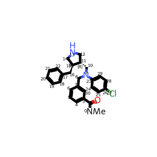 CNC(=O)c1cccc(CN(C[C@H]2CNC[C@@H]2Cc2ccccc2)c2ccc(Cl)cc2)c1